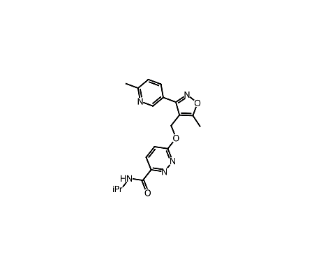 Cc1ccc(-c2noc(C)c2COc2ccc(C(=O)NC(C)C)nn2)cn1